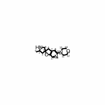 CC1CC2(CN1)Cc1cc(N3CCOCC3)ncc1O2